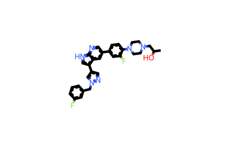 CC(O)CN1CCN(c2ccc(-c3cnc4[nH]cc(-c5cnn(Cc6cccc(F)c6)c5)c4c3)cc2F)CC1